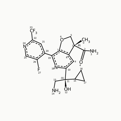 C[C@]1(C(N)=O)COc2c1cc([C@@](O)(CN)C1CC1)nc2-c1cc(C(F)(F)F)ncc1F